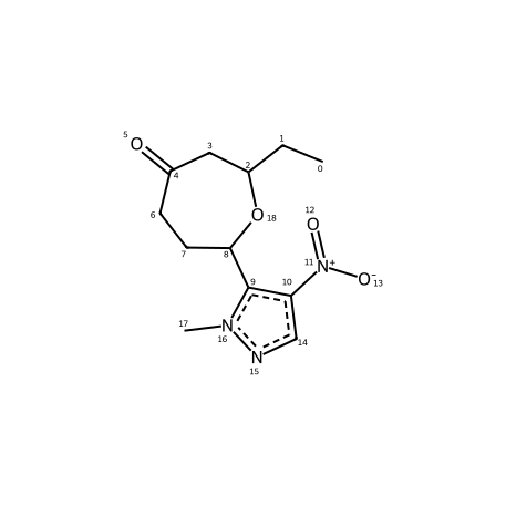 CCC1CC(=O)CCC(c2c([N+](=O)[O-])cnn2C)O1